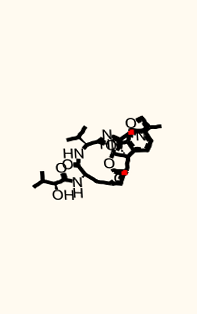 Cc1coc(-c2nc3oc2[C@@]24c5ccccc5NC2Oc2ccc(cc24)C[C@H](NC(=O)[C@@H](O)C(C)C)C(=O)N[C@H]3C(C)C)n1